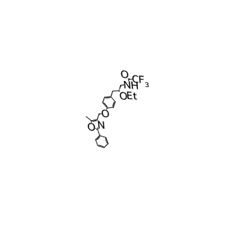 CCO[C@H](CNC(=O)C(F)(F)F)Cc1ccc(OCc2nc(-c3ccccc3)oc2C)cc1